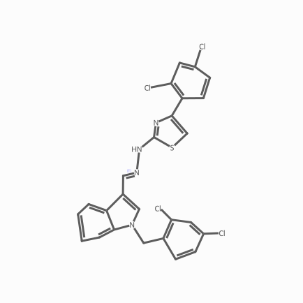 Clc1ccc(Cn2cc(/C=N/Nc3nc(-c4ccc(Cl)cc4Cl)cs3)c3ccccc32)c(Cl)c1